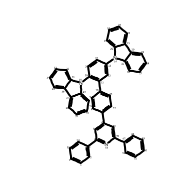 c1ccc(-c2cc(-c3ccc(-c4cc(-n5c6ccccc6c6ccccc65)ccc4-n4c5ccccc5c5ccccc54)cc3)cc(-c3ccccc3)n2)cc1